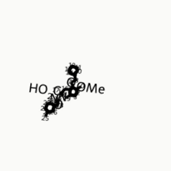 COc1ccc2c(c1OCc1ccccc1)CC(C(=O)O)N(c1nc3ccc(C)cc3o1)C2